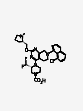 CN1CCC[C@H]1COc1nc2c(c(N3CCN(C(=O)O)C[C@@H]3C(F)F)n1)CCN(c1cccc3cccc(Cl)c13)C2